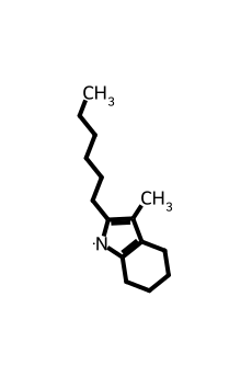 CCCCCCC1=C(C)C2=C(CCCC2)[N]1